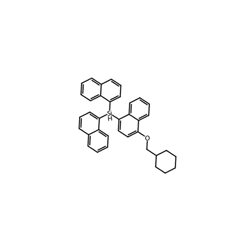 c1ccc2c([SiH](c3cccc4ccccc34)c3ccc(OCC4CCCCC4)c4ccccc34)cccc2c1